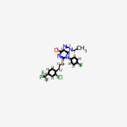 CCn1cnc2c(=O)nc(SCCc3ccc(C(F)(F)F)cc3Cl)n(-c3ccc(F)cc3)c21